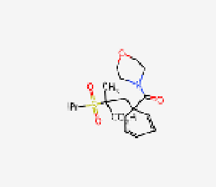 CC(C)S(=O)(=O)C(C)(CC1(C(=O)N2CCOCC2)C=CC=CC1)C(=O)O